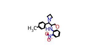 Cc1ccc(C(C(C=O)Nc2ccccc2[N+](=O)[O-])N2CCC2)cc1